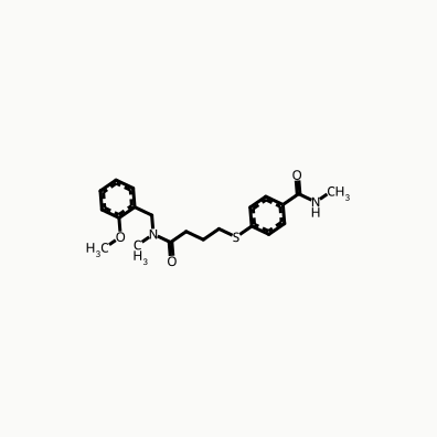 CNC(=O)c1ccc(SCCCC(=O)N(C)Cc2ccccc2OC)cc1